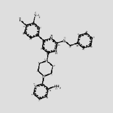 Nc1cc(-c2cc(N3CCN(c4ncccc4N)CC3)nc(SCc3ccccc3)n2)ccc1F